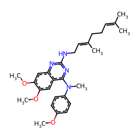 COc1ccc(N(C)c2nc(NC/C=C(\C)CCC=C(C)C)nc3cc(OC)c(OC)cc23)cc1